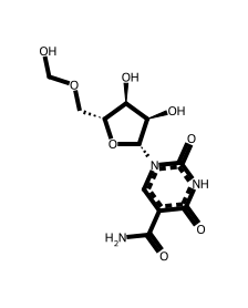 NC(=O)c1cn([C@@H]2O[C@H](COCO)[C@@H](O)[C@H]2O)c(=O)[nH]c1=O